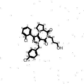 O=C1c2c(c(-c3ccccc3Cl)nn2Cc2ccc(Cl)cc2)N2CCCC2C(=O)N1CCCO